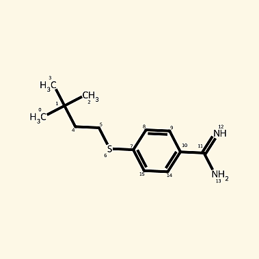 CC(C)(C)CCSc1ccc(C(=N)N)cc1